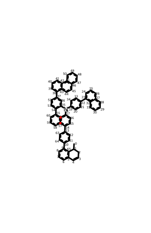 CC1CC=Cc2cccc(-c3ccc(-c4ccc(N(c5ccc(-c6cccc7ccccc67)cc5)c5cc(-c6cccc7c6ccc6ccccc67)ccc5-c5ccccc5)cc4)cc3)c21